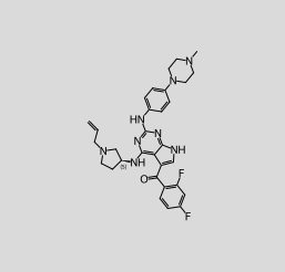 C=CCN1CC[C@H](Nc2nc(Nc3ccc(N4CCN(C)CC4)cc3)nc3[nH]cc(C(=O)c4ccc(F)cc4F)c23)C1